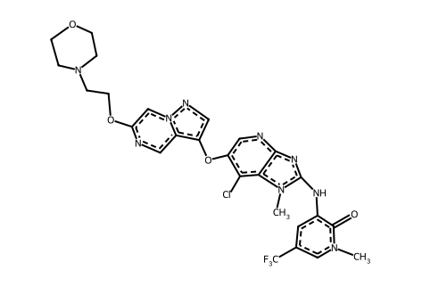 Cn1cc(C(F)(F)F)cc(Nc2nc3ncc(Oc4cnn5cc(OCCN6CCOCC6)ncc45)c(Cl)c3n2C)c1=O